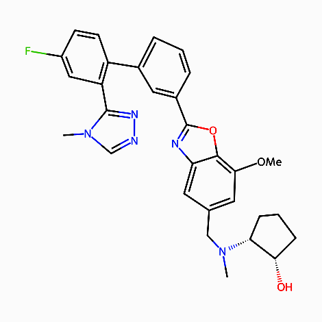 COc1cc(CN(C)[C@@H]2CCC[C@@H]2O)cc2nc(-c3cccc(-c4ccc(F)cc4-c4nncn4C)c3)oc12